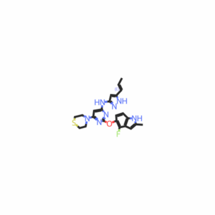 C/C=C/c1cc(Nc2cc(N3CCSCC3)nc(Oc3ccc4[nH]c(C)cc4c3F)n2)n[nH]1